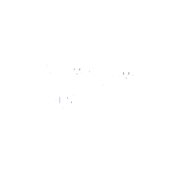 COc1cccc([C@@H](N)CCC(=O)O)c1OC